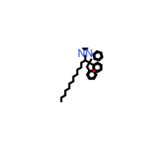 CCCCCCCCCCCCC(c1nccn1-c1ccccc1)C(C)(Cc1ccccc1)c1ccccc1